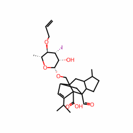 C=CCO[C@H]1[C@H](I)[C@H](O)[C@H](OCC23CC4C(C)CCC4C4(C=O)CC2C=C(C(C)C)C43C(=O)O)O[C@@H]1C